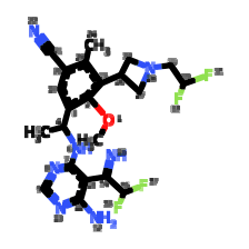 COc1c(C(C)Nc2ncnc(N)c2C(=N)C(F)F)cc(C#N)c(C)c1C1CN(CC(F)F)C1